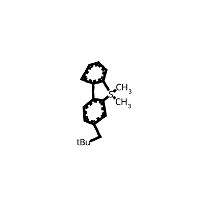 CC(C)(C)Cc1ccc2c(c1)S(C)(C)c1ccccc1-2